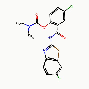 CN(C)C(=O)Oc1ccc(Cl)cc1C(=O)Nc1nc2ccc(F)cc2s1